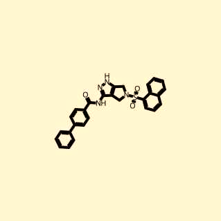 O=C(Nc1n[nH]c2c1CN(S(=O)(=O)c1cccc3ccccc13)C2)c1ccc(-c2ccccc2)cc1